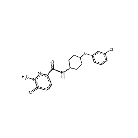 Cn1nc(C(=O)NC2CCC(Oc3cccc(Cl)c3)CC2)ccc1=O